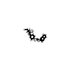 CCC(C)(C)C(=O)Oc1ccc(OCOC2CC3CC2C2CCCC32)cc1